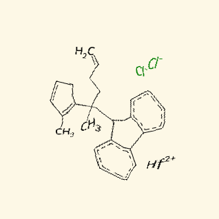 C=CCCC(C)(C1=C(C)C=CC1)C1c2ccccc2-c2ccccc21.[Cl-].[Cl-].[Hf+2]